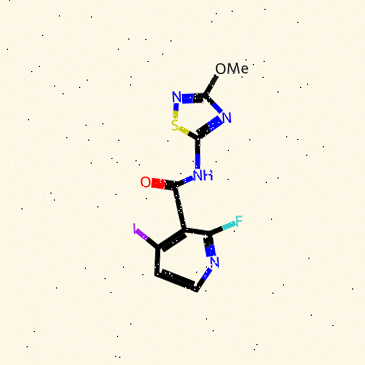 COc1nsc(NC(=O)c2c(I)ccnc2F)n1